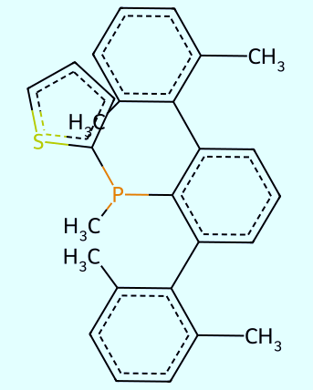 Cc1cccc(C)c1-c1cccc(-c2c(C)cccc2C)c1P(C)c1cccs1